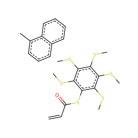 C=CC(=O)Sc1c(SC)c(SC)c(SC)c(SC)c1SC.[CH2]c1cccc2ccccc12